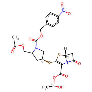 CC(=O)OCC1C[C@H](SC2=C(C(=O)O[C@H](C)O)N3C(=O)C[C@H]3S2)CN1C(=O)OCc1ccc([N+](=O)[O-])cc1